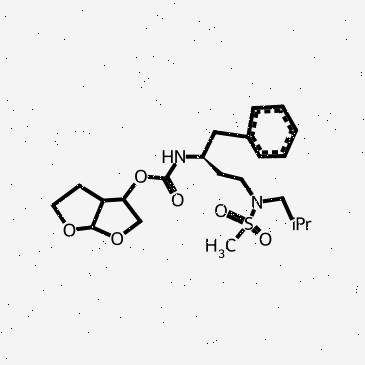 CC(C)CN(CC[C@H](Cc1ccccc1)NC(=O)OC1COC2OCCC12)S(C)(=O)=O